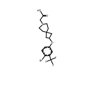 O=C(O)CN1CCC2(CC1)CC(Oc1ccc(Br)c(C(F)(F)F)c1)C2